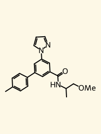 COCC(C)NC(=O)c1cc(-c2ccc(C)cc2)cc(-n2cccn2)c1